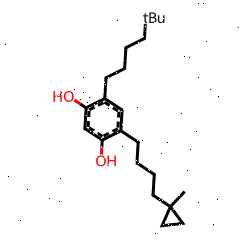 CC(C)(C)CCCCc1cc(CCCCC2(C)CC2)c(O)cc1O